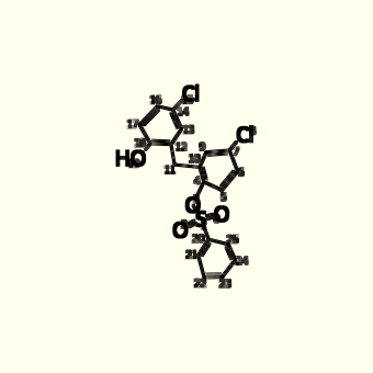 O=S(=O)(Oc1ccc(Cl)cc1Cc1cc(Cl)ccc1O)c1ccccc1